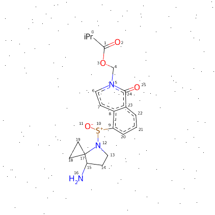 CC(C)C(=O)OCn1ccc2c([S+]([O-])N3CCC(N)C34CC4)cccc2c1=O